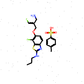 CCCNc1nc2ccc(OCC(=CF)CN)c(F)c2s1.Cc1ccc(S(=O)(=O)O)cc1